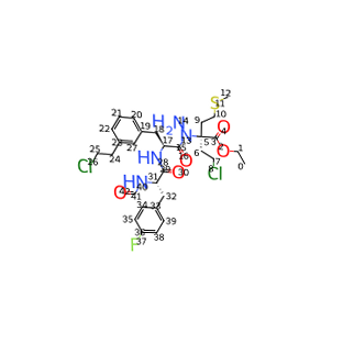 CCOC(=O)[C@](CCCl)(CCSC)N(N)C(=O)[C@H](Cc1cccc(CCCl)c1)NC(=O)[C@H](Cc1ccc(F)cc1)NC=O